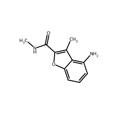 CNC(=O)c1oc2cccc(N)c2c1C